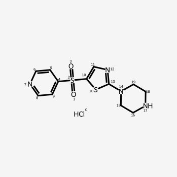 Cl.O=S(=O)(c1ccncc1)c1cnc(N2CCNCC2)s1